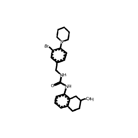 O=C(NCc1ccc(N2CCCCC2)c(Br)c1)Nc1cccc2c1CC(O)CC2